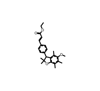 CCOC(=O)C=Cc1ccc(C2c3c(C)c(OC)c(C)c(C)c3OC2(C)C)cc1